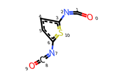 O=C=Nc1ccc(N=C=O)s1